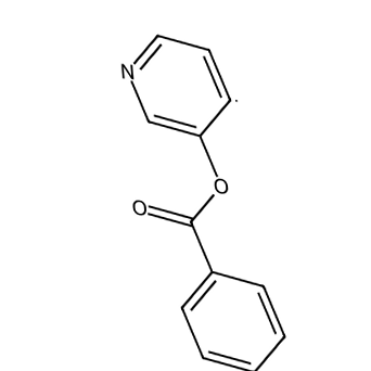 O=C(Oc1[c]ccnc1)c1ccccc1